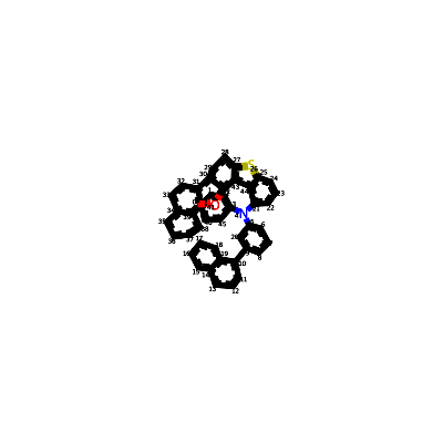 c1ccc(N(c2cccc(-c3cccc4ccccc34)c2)c2cccc3sc4ccc5c6ccc7ccccc7c6oc5c4c23)cc1